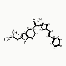 CN(C)Cc1cc2c(o1)CCN(C(=O)c1ccc(C=Cc3ccccc3)s1)C2.Cl